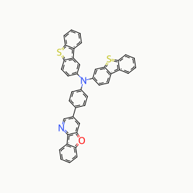 c1ccc2c(c1)oc1cc(-c3ccc(N(c4ccc5c(c4)sc4ccccc45)c4ccc5sc6ccccc6c5c4)cc3)cnc12